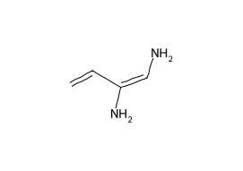 C=C/C(N)=C\N